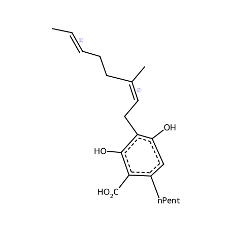 C/C=C/CC/C(C)=C\Cc1c(O)cc(CCCCC)c(C(=O)O)c1O